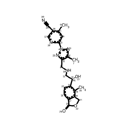 Cc1cc(-n2nc(C)c(CNC[C@H](O)c3ccc4c(c3C)COC4=O)n2)ncc1C#N